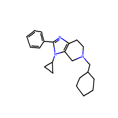 c1ccc(-c2nc3c(n2C2CC2)CN(CC2CCCCC2)CC3)cc1